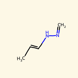 C=NN/C=C/C